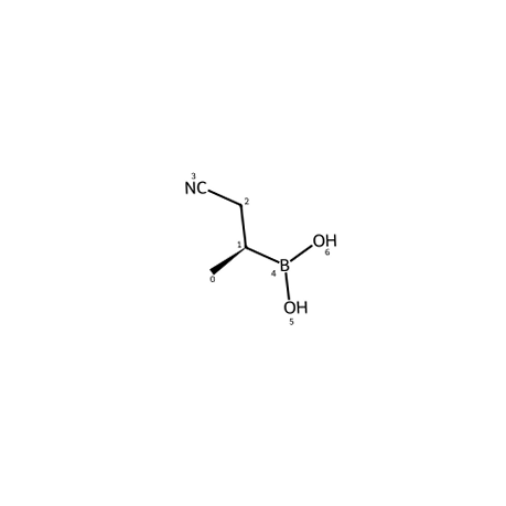 C[C@@H](CC#N)B(O)O